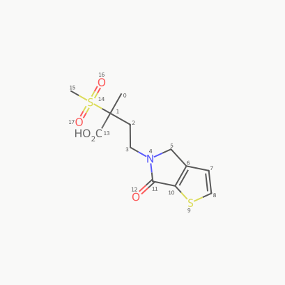 CC(CCN1Cc2ccsc2C1=O)(C(=O)O)S(C)(=O)=O